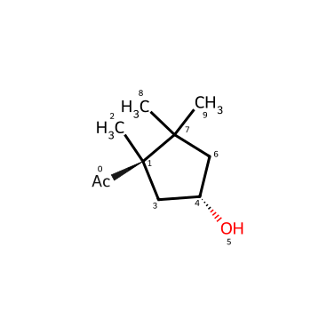 CC(=O)[C@]1(C)C[C@@H](O)CC1(C)C